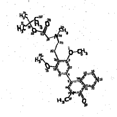 COc1cc(-c2cn(C)c(=O)c3cnccc23)cc(OC)c1CCN(C)CC(=O)OC(C)(C)C